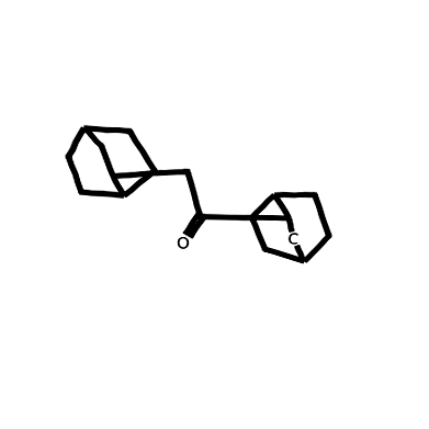 O=C(CC1CC2CCC1CC2)C1CC2CCC1CC2